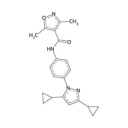 Cc1noc(C)c1C(=O)Nc1ccc(-n2nc(C3CC3)cc2C2CC2)cc1